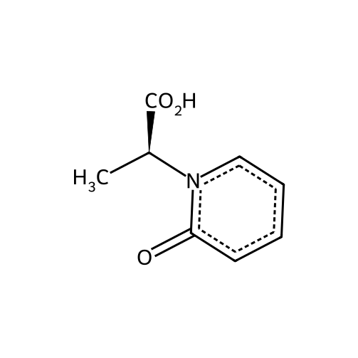 C[C@@H](C(=O)O)n1ccccc1=O